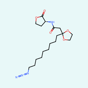 [N-]=[N+]=NCCCCCCCCCC1(CC(=O)N[C@H]2CCOC2=O)OCCO1